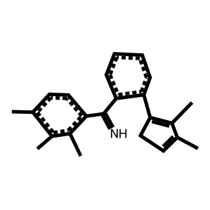 CC1=CCC(c2ccccc2C(=N)c2ccc(C)c(C)c2C)=C1C